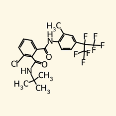 Cc1cc(C(F)(C(F)(F)F)C(F)(F)F)ccc1NC(=O)c1cccc(Cl)c1C(=O)NC(C)(C)C